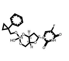 O=c1[nH]c(=O)n([C@H]2C[C@@H]3O[PH](O)(OCC4(c5ccccc5)CC4)OC[C@H]3O2)cc1F